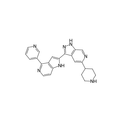 c1cncc(-c2nccc3[nH]c(-c4n[nH]c5cnc(C6CCNCC6)cc45)cc23)c1